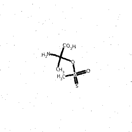 CC(N)(OS(C)(=O)=S)C(=O)O